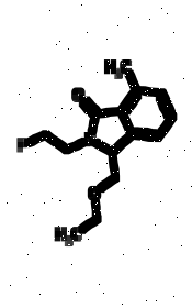 CCOCC1c2cccc(C)c2C(=O)N1CCF